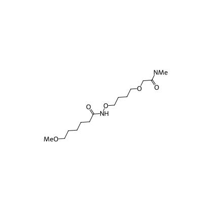 CNC(=O)COCCCCONC(=O)CCCCCOC